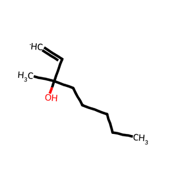 [CH]=CC(C)(O)CCCCC